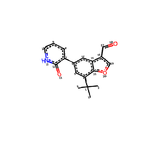 CC(C)(C)c1cc(-c2ccc[nH]c2=O)cc2c(C=O)coc12